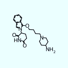 NC1CCN(CCCCOc2c3ccccc3cn2C2CCC(=O)NC2=O)CC1